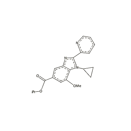 COc1cc(C(=O)OC(C)C)cc2nc(-c3ccccn3)n(C3CC3)c12